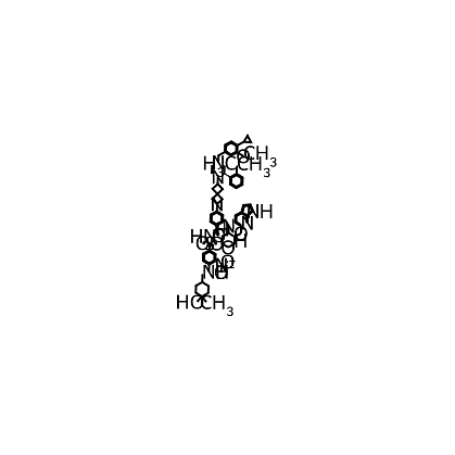 COc1cc(CN2CCN(C3CC4(C3)CN(c3ccc(C(=O)NS(=O)(=O)c5ccc(NCC6CCC(C)(O)CC6)c([N+](=O)[O-])c5)c(N5c6cc7cc[nH]c7nc6O[C@H]6COCC[C@@H]65)c3)C4)[C@H](c3ccccc3C(C)C)C2)ccc1C1CC1